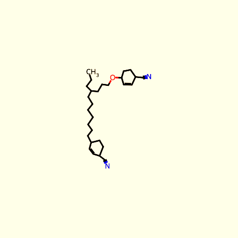 CCCC(CCCCCCCC1C=CC(C#N)CC1)CCCOC1C=CC(C#N)CC1